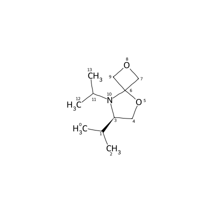 CC(C)[C@@H]1COC2(COC2)N1C(C)C